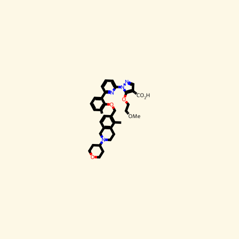 COCCOc1c(C(=O)O)cnn1-c1cccc(-c2cccc(C)c2OCc2ccc3c(c2C)CCN(C2CCOCC2)C3)n1